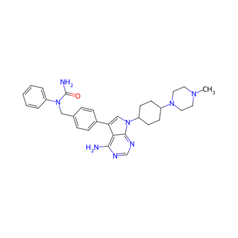 CN1CCN(C2CCC(n3cc(-c4ccc(CN(C(N)=O)c5ccccc5)cc4)c4c(N)ncnc43)CC2)CC1